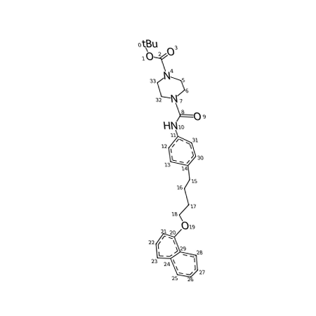 CC(C)(C)OC(=O)N1CCN(C(=O)Nc2ccc(CCCCOc3cccc4ccccc34)cc2)CC1